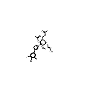 CO[C@@H]1[C@@H](n2cc(-c3cc(F)c(Cl)c(F)c3)nn2)[C@@H](OC(C)=O)[C@@H](COC(C)=O)O[C@@H]1CC=NO